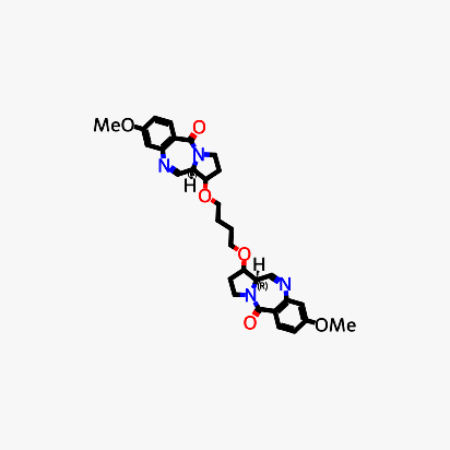 COc1ccc2c(c1)N=C[C@@H]1C(OCCCCOC3CCN4C(=O)c5ccc(OC)cc5N=C[C@H]34)CCN1C2=O